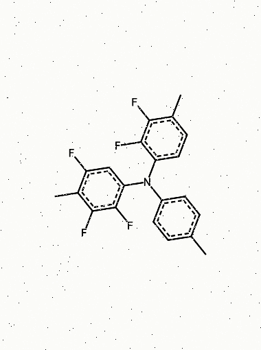 Cc1ccc(N(c2ccc(C)c(F)c2F)c2cc(F)c(C)c(F)c2F)cc1